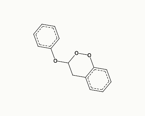 c1ccc(OC2Cc3ccccc3OO2)cc1